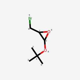 CC(C)(C)OC1OC1CBr